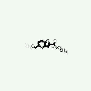 CCc1ccc2oc(C(=O)NOC)cc2n1